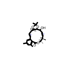 Cc1cc(C)c2c(c1)/C=C/C[C@@H]1OC(C)(C)OC1C(O)/C=C\[C@@H](C)[C@H](C)OC2=O